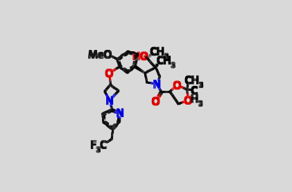 COc1ccc([C@@H]2CN(C(=O)C3COC(C)(C)O3)C[C@@]2(C)[C@@H](C)O)cc1OC1CN(c2ccc(CC(F)(F)F)cn2)C1